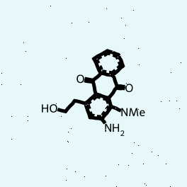 CNc1c(N)cc(CCO)c2c1C(=O)c1ccccc1C2=O